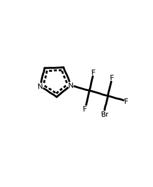 FC(F)(Br)C(F)(F)n1ccnc1